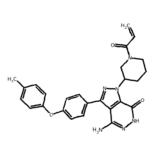 C=CC(=O)N1CCCC(n2nc(-c3ccc(Oc4ccc(C)cc4)cc3)c3c(N)n[nH]c(=O)c32)C1